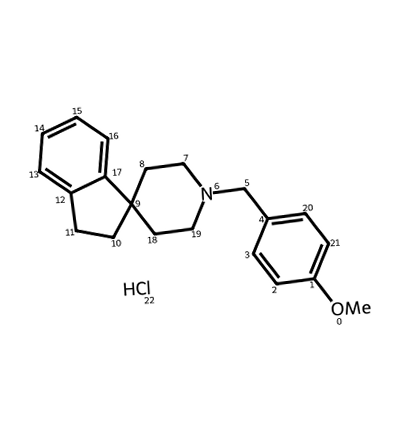 COc1ccc(CN2CCC3(CCc4ccccc43)CC2)cc1.Cl